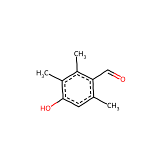 Cc1cc(O)c(C)c(C)c1C=O